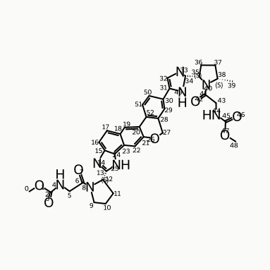 COC(=O)NCC(=O)N1CCC[C@H]1c1nc2ccc3cc4c(cc3c2[nH]1)OCc1cc(-c2cnc([C@@H]3CC[C@H](C)N3C(=O)CNC(=O)OC)[nH]2)ccc1-4